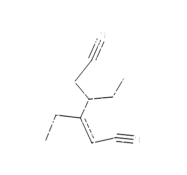 CCC(=CC#N)C(CC)CC#N